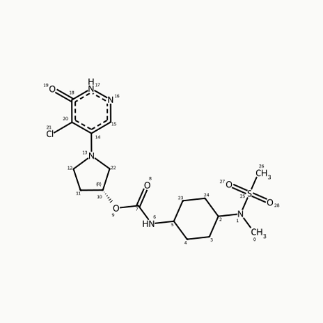 CN(C1CCC(NC(=O)O[C@@H]2CCN(c3cn[nH]c(=O)c3Cl)C2)CC1)S(C)(=O)=O